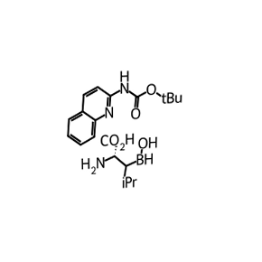 CC(C)(C)OC(=O)Nc1ccc2ccccc2n1.CC(C)C(BO)[C@H](N)C(=O)O